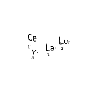 [Ce].[La].[Lu].[Y]